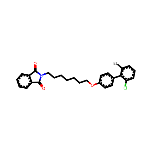 CCc1cccc(Cl)c1-c1ccc(OCCCCCCCN2C(=O)c3ccccc3C2=O)cc1